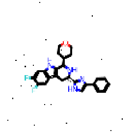 Fc1cc2[nH]c3c(c2cc1F)C[C@H](c1nc(-c2ccccc2)c[nH]1)NC3C1CCOCC1